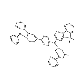 CC1CC(c2ccccc2)=CC(N(c2ccc(C3=CC4c5ccccc5N(c5ccccc5)C4C=C3)cc2)c2ccc3c(c2)C(C)(C)c2ccccc2-3)C1